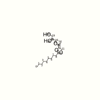 CCCCCCCCCC1OCC([C@H](C)OC[C@@H](O)CO)O1